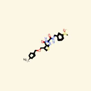 C[S+]([O-])c1cccc(CNC(=O)c2nc3scc(COCc4ccc(C(=O)O)cc4)c3c(=O)[nH]2)c1